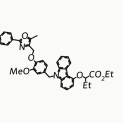 CCOC(=O)C(CC)Oc1cccc2c1c1ccccc1n2Cc1ccc(OCc2nc(-c3ccccc3)oc2C)c(OC)c1